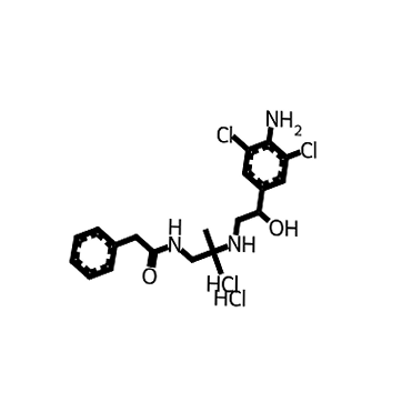 CC(C)(CNC(=O)Cc1ccccc1)NCC(O)c1cc(Cl)c(N)c(Cl)c1.Cl.Cl